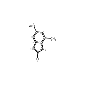 CC(=O)Oc1cc(C)c2nc(Cl)sc2c1